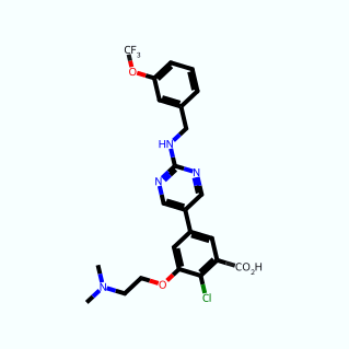 CN(C)CCOc1cc(-c2cnc(NCc3cccc(OC(F)(F)F)c3)nc2)cc(C(=O)O)c1Cl